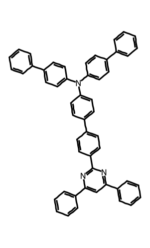 c1ccc(-c2ccc(N(c3ccc(-c4ccccc4)cc3)c3ccc(-c4ccc(-c5nc(-c6ccccc6)cc(-c6ccccc6)n5)cc4)cc3)cc2)cc1